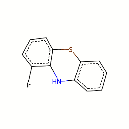 [Ir][c]1cccc2c1Nc1ccccc1S2